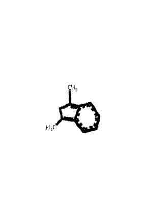 CC1=c2ccccc2=C(C)C1